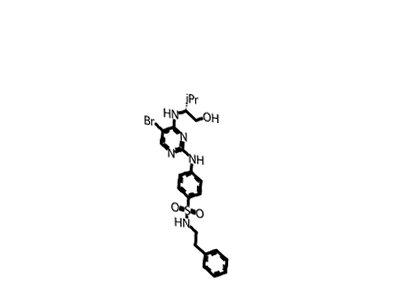 CC(C)[C@H](CO)Nc1nc(Nc2ccc(S(=O)(=O)NCCc3ccccc3)cc2)ncc1Br